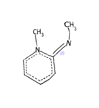 C/N=c1/ccccn1C